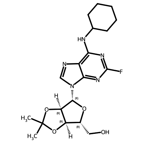 CC1(C)O[C@@H]2[C@H](O1)[C@@H](CO)O[C@H]2n1cnc2c(NC3CCCCC3)nc(F)nc21